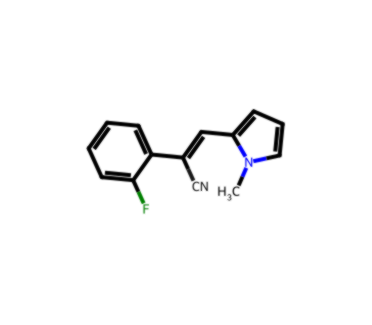 Cn1cccc1C=C(C#N)c1ccccc1F